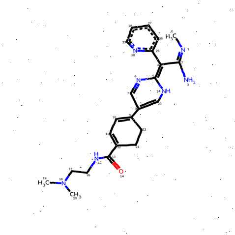 C/N=C(N)\C(=C1\N=CC(C2=CC=C(C(=O)NCCN(C)C)CC2)=CN1)c1ccccn1